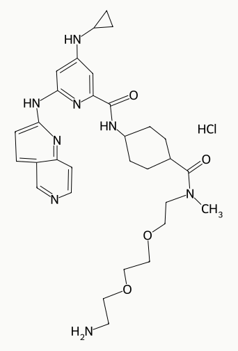 CN(CCOCCOCCN)C(=O)C1CCC(NC(=O)c2cc(NC3CC3)cc(Nc3ccc4cnccc4n3)n2)CC1.Cl